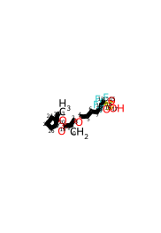 C=C(COCCCCC(F)(F)C(F)(F)S(=O)(=O)O)C(=O)OC1(CC)CCCC1